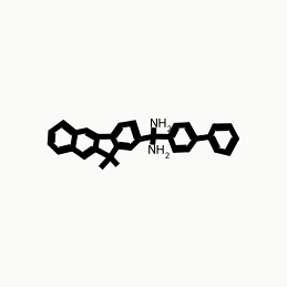 CC1(C)c2cc(C(N)(N)c3ccc(-c4ccccc4)cc3)ccc2-c2cc3ccccc3cc21